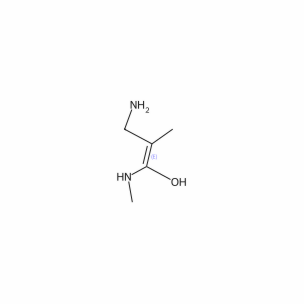 CN/C(O)=C(/C)CN